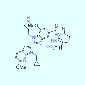 COc1ccc2cc(-c3nc4cc(C(=O)N5C[C@H]6CC[C@@H]5[C@@H]6NC(=O)O)cc(OC)c4n3CC3CNC3)n(CC3CC3)c2n1